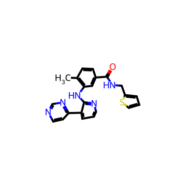 Cc1ccc(C(=O)NCc2cccs2)cc1Nc1ncccc1-c1ccncn1